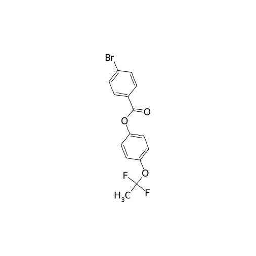 CC(F)(F)Oc1ccc(OC(=O)c2ccc(Br)cc2)cc1